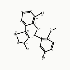 COc1ccc(Br)cc1CSc1c(Cl)cccc1C1=NC(C)CN1